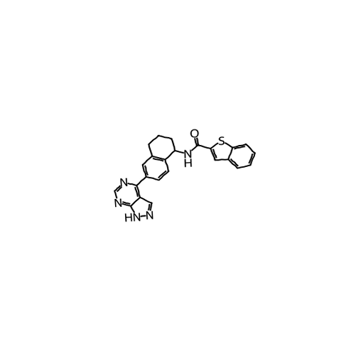 O=C(NC1CCCc2cc(-c3ncnc4[nH]ncc34)ccc21)c1cc2ccccc2s1